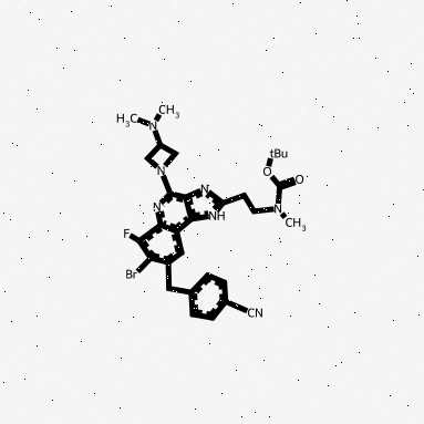 CN(CCc1nc2c(N3CC(N(C)C)C3)nc3c(F)c(Br)c(Cc4ccc(C#N)cc4)cc3c2[nH]1)C(=O)OC(C)(C)C